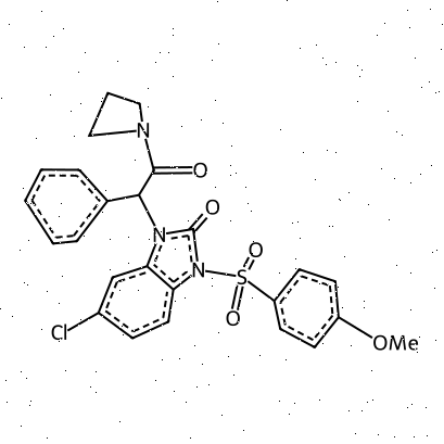 COc1ccc(S(=O)(=O)n2c(=O)n(C(C(=O)N3CCC3)c3ccccc3)c3cc(Cl)ccc32)cc1